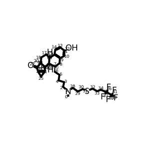 CN(CCCCC[C@@H]1Cc2cc(O)ccc2[C@H]2CC[C@]3(C)C(=O)C4=C(C4)[C@H]3[C@H]12)CCCSCCCC(F)(F)C(F)(F)F